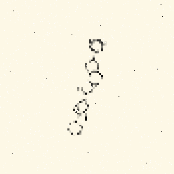 O=C(CN1CCc2cc(-c3cncnc3)ccc2C1)N1C[C@@H]2CC1CN2C1CCCCC1